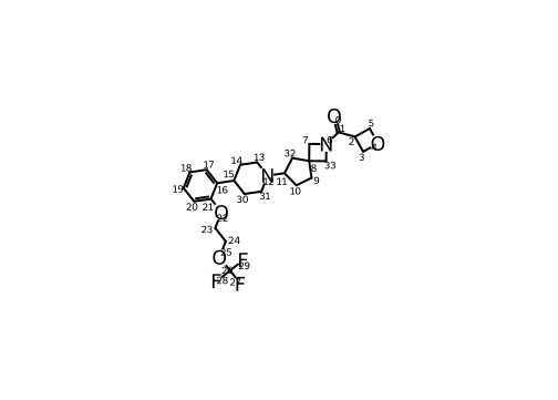 O=C(C1COC1)N1CC2(CCC(N3CCC(c4ccccc4OCCOC(F)(F)F)CC3)C2)C1